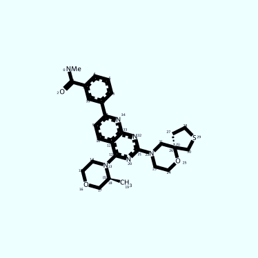 CNC(=O)c1cccc(-c2ccc3c(N4CCOC[C@@H]4C)nc(N4CCO[C@@]5(CCSC5)C4)nc3n2)c1